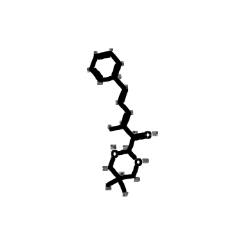 C/C(=C\C=C\c1ccccc1)C(=O)C1OCC(C)(C)CO1